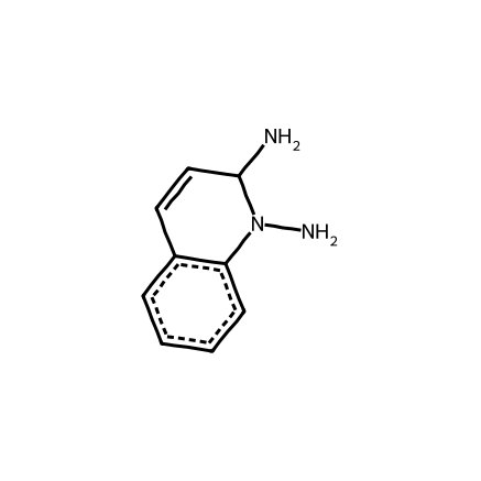 NC1C=Cc2ccccc2N1N